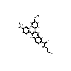 O=C(NCCO)c1ccc2nc(-c3ccc(OC(F)(F)F)cc3)c(-c3ccc(OC(F)(F)F)cc3)nc2c1